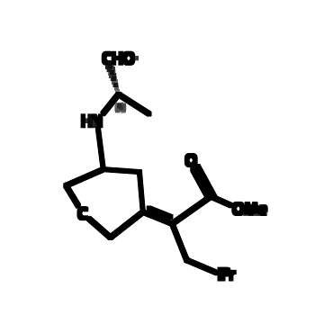 COC(=O)C(CC(C)C)=C1CCCC(N[C@@H](C)[C]=O)C1